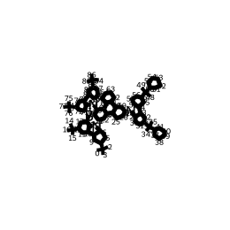 CC(C)(C)c1ccc2c(c1)c1cc(C(C)(C)C)cc3c1n2-c1cc2c4ccc(-n5c6ccc(C(C)(C)c7ccccc7)cc6c6cc(C(C)(C)c7ccccc7)ccc65)cc4c4ccccc4c2c2c1B3c1cc(C(C)(C)C)cc3c4cc(C(C)(C)C)ccc4n-2c13